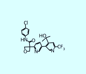 CC(C)(O)c1cc(C(F)(F)F)ncc1-c1ccc(C2(C(=O)Nc3ccc(Cl)cc3)COC2)nc1